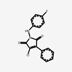 O=C1C(Cl)=C(c2ccccc2)C(=O)N1Nc1ccc(F)cc1